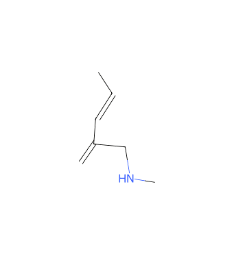 C=C(/C=C/C)CNC